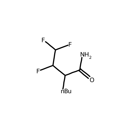 CCCCC(C(N)=O)C(F)C(F)F